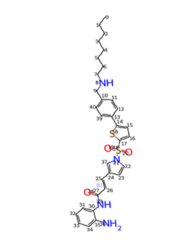 CCCCCCCCNCc1ccc(-c2ccc(S(=O)(=O)n3ccc(/C=C/C(=O)Nc4ccccc4N)c3)s2)cc1